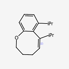 CC(C)/C1=C/CCCOc2cccc(C(C)C)c21